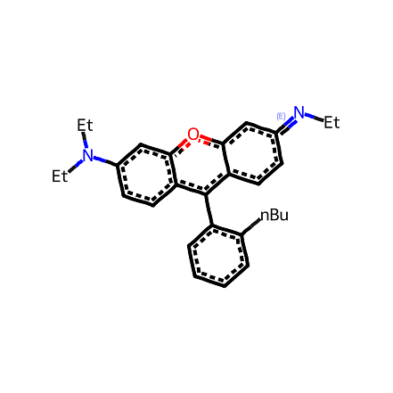 CCCCc1ccccc1-c1c2cc/c(=N\CC)cc-2oc2cc(N(CC)CC)ccc12